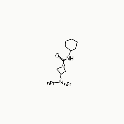 CCCN(CCC)C1CN(C(=O)NC2CCCCC2)C1